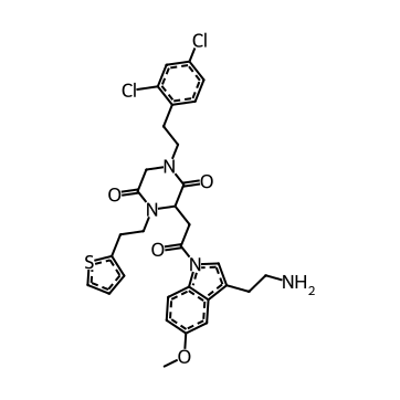 COc1ccc2c(c1)c(CCN)cn2C(=O)CC1C(=O)N(CCc2ccc(Cl)cc2Cl)CC(=O)N1CCc1cccs1